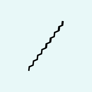 C=CC=CCCC=CC=CCCCCCCCC